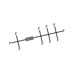 FC(F)(F)C#CC(F)(F)C(F)(F)C(F)(F)F